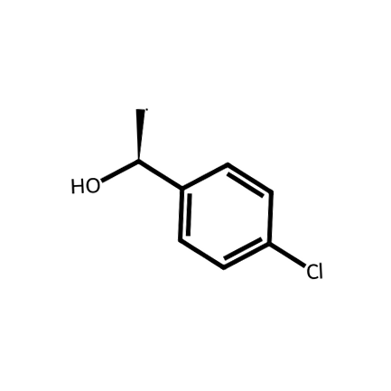 [CH2][C@H](O)c1ccc(Cl)cc1